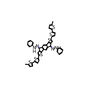 Cc1ccc(-c2ccc(-c3cc4/c(=N\Nc5ccccc5)c5cc6c(cc5c4s3)/c(=N/Nc3ccccc3)c3cc(-c4ccc(-c5ccc(C)s5)s4)sc36)s2)s1